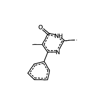 [CH2]c1nc(-c2ccccc2)c(C)c(=O)[nH]1